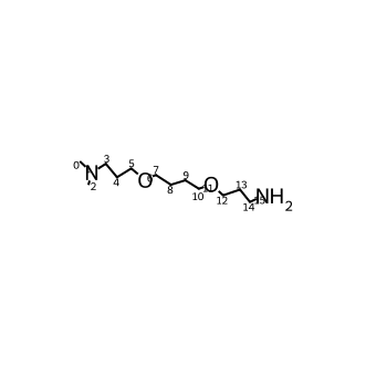 CN(C)CCCOCCCCOCCCN